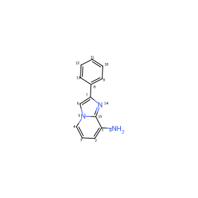 Nc1cccn2cc(-c3ccccc3)nc12